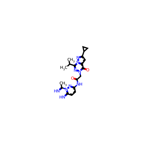 CC(=N)n1nc(NC(=O)Cn2nc(C(C)C)n3nc(C4CC4)cc3c2=O)ccc1=N